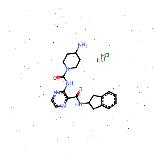 Cl.Cl.NC1CCN(C(=O)Nc2nccnc2C(=O)NC2Cc3ccccc3C2)CC1